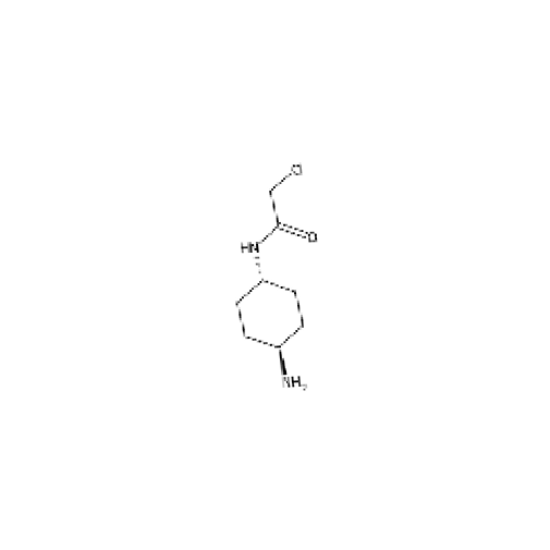 N[C@H]1CC[C@H](NC(=O)CCl)CC1